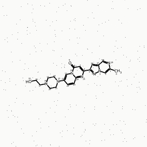 Cc1cn2nc(-c3cc(=O)n4cc(N5CCN(CCO)CC5)ccc4n3)cc2cn1